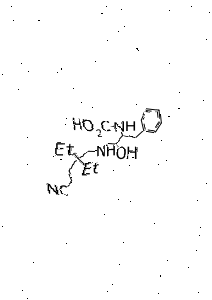 CCC(CC)(CCC#N)CNC[C@@H](O)[C@H](Cc1ccccc1)NC(=O)O